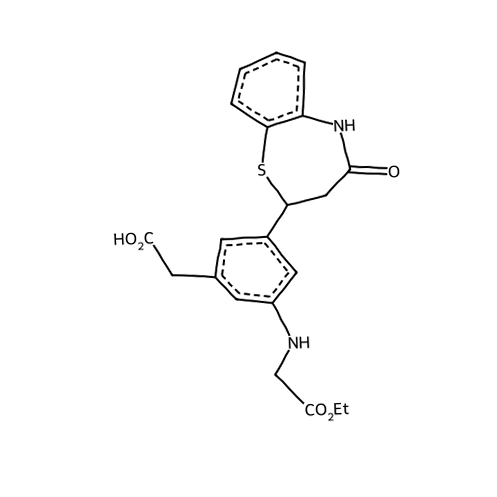 CCOC(=O)CNc1cc(CC(=O)O)cc(C2CC(=O)Nc3ccccc3S2)c1